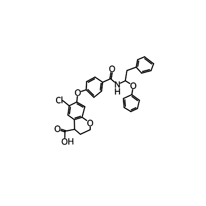 O=C(NC(Cc1ccccc1)Oc1ccccc1)c1ccc(Oc2cc3c(cc2Cl)C(C(=O)O)CCO3)cc1